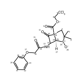 CC1(C)C[N+]2(C(=O)OCC(Cl)(Cl)Cl)C(=O)C(NC(=O)COc3ccccc3)[C@@H]2[S+]1[O-]